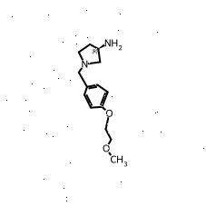 COCCOc1ccc(CN2CC[C@@H](N)C2)cc1